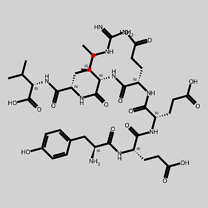 CC[C@H](C)[C@H](NC(=O)[C@H](CCC(=O)O)NC(=O)[C@H](CCC(=O)O)NC(=O)[C@H](CCC(=O)O)NC(=O)[C@@H](N)Cc1ccc(O)cc1)C(=O)N[C@@H](CCCNC(=N)N)C(=O)N[C@H](C(=O)O)C(C)C